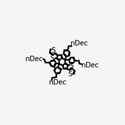 CCCCCCCCCCCCc1ccc(C2(c3ccc(CCCCCCCCCCCC)cc3)C3=Cc4c5c(sc4=C3C(c3ccc(CCCCCCCCCCCC)cc3)(c3ccc(CCCCCCCCCCCC)cc3)C3C=c4c(sc6ccsc46)=C32)=CCS5)cc1